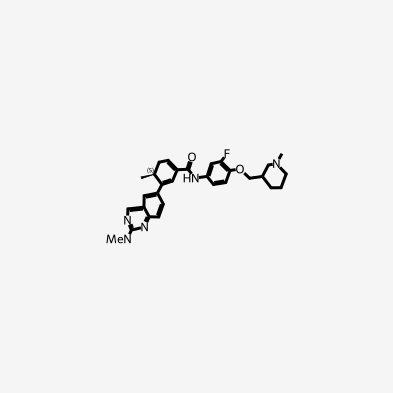 CNc1ncc2cc(C3=CC(C(=O)Nc4ccc(OCC5CCCN(C)C5)c(F)c4)=CC[C@@H]3C)ccc2n1